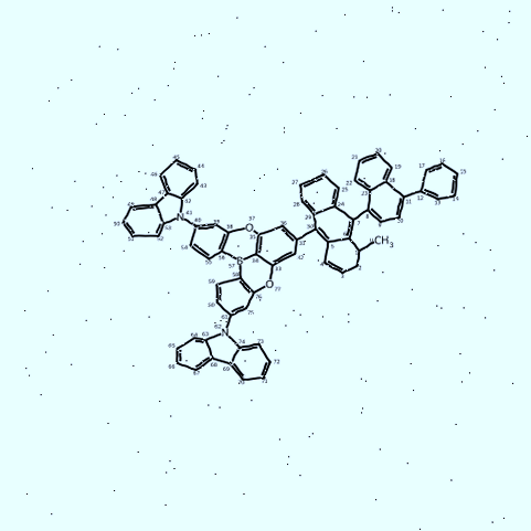 CC1CC=Cc2c1c(-c1ccc(-c3ccccc3)c3ccccc13)c1ccccc1c2-c1cc2c3c(c1)Oc1cc(-n4c5ccccc5c5ccccc54)ccc1B3c1ccc(-n3c4ccccc4c4ccccc43)cc1O2